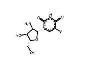 N[C@@H]1[C@H](O)[C@@H](CO)O[C@H]1n1cc(F)c(=O)[nH]c1=O